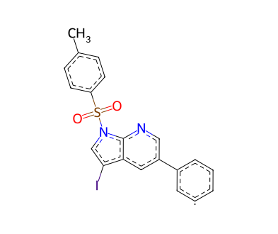 Cc1ccc(S(=O)(=O)n2cc(I)c3cc(-c4c[c]ccc4)cnc32)cc1